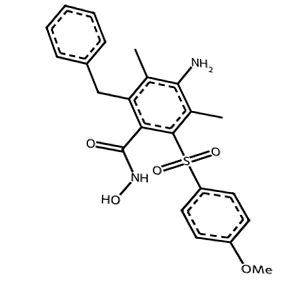 COc1ccc(S(=O)(=O)c2c(C)c(N)c(C)c(Cc3ccccc3)c2C(=O)NO)cc1